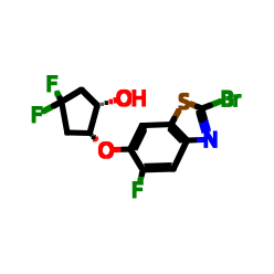 O[C@H]1CC(F)(F)C[C@H]1Oc1cc2sc(Br)nc2cc1F